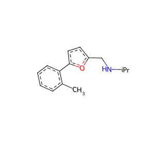 Cc1ccccc1-c1ccc(CNC(C)C)o1